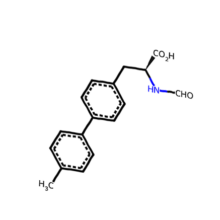 Cc1ccc(-c2ccc(C[C@H](NC=O)C(=O)O)cc2)cc1